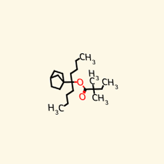 CCCCC(CCCC)(OC(=O)C(C)(C)CC)C12CCC(CC1)C2